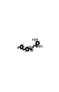 O=C(NCCc1c[nH]c2ccc(O)cc12)c1ccc(Cc2cccc(F)c2)cc1